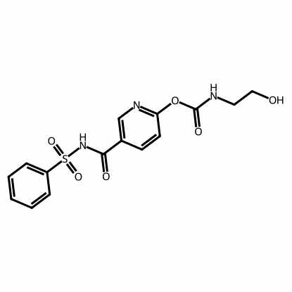 O=C(NCCO)Oc1ccc(C(=O)NS(=O)(=O)c2ccccc2)cn1